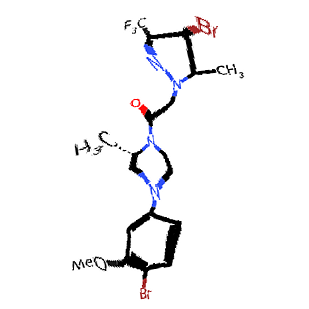 COc1cc(N2CCN(C(=O)CN3N=C(C(F)(F)F)C(Br)C3C)[C@@H](C)C2)ccc1Br